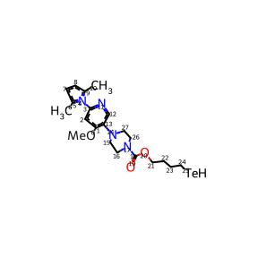 COc1cc(-n2c(C)ccc2C)ncc1N1CCN(C(=O)OCCCC[TeH])CC1